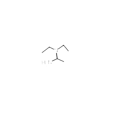 CCN(CC)C(C)N